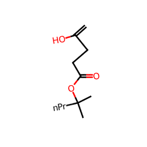 C=C(O)CCC(=O)OC(C)(C)CCC